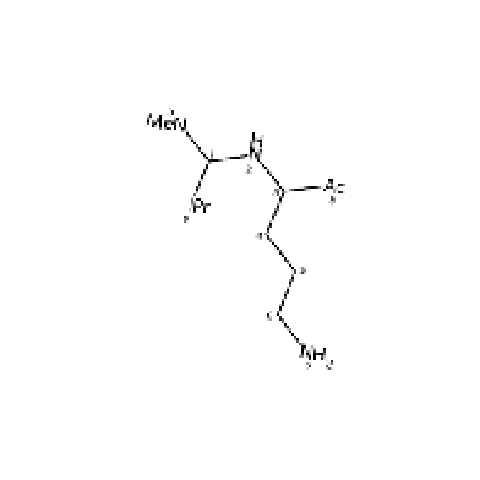 CNC(NC(CCCN)C(C)=O)C(C)C